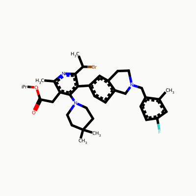 Cc1cc(F)ccc1CN1CCc2cc(-c3c(C(C)Br)nc(C)c(CC(=O)OC(C)C)c3N3CCC(C)(C)CC3)ccc2C1